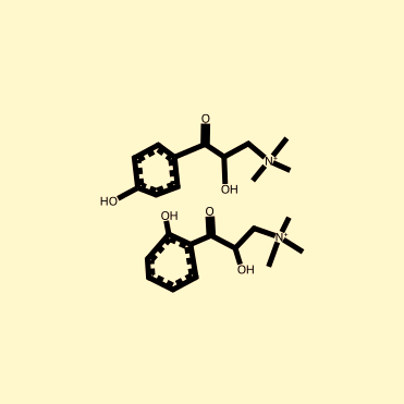 C[N+](C)(C)CC(O)C(=O)c1ccc(O)cc1.C[N+](C)(C)CC(O)C(=O)c1ccccc1O